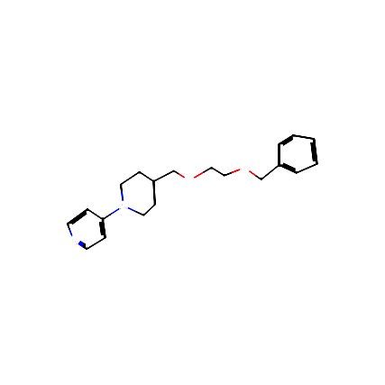 c1ccc(COCCOCC2CCN(c3ccncc3)CC2)cc1